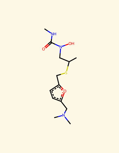 CNC(=O)N(O)CC(C)SCc1ccc(CN(C)C)o1